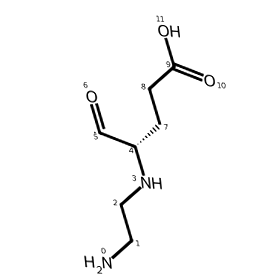 NCCN[C@H]([C]=O)CCC(=O)O